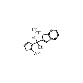 CCC(CC)(C1=Cc2ccccc2C1)C1=[C]([Zr+2])CC=C1.[Cl-].[Cl-]